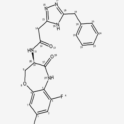 Cc1cc(F)c2c(c1)OC[C@@H](NC(=O)Cc1nnc(Cc3ccccc3)[nH]1)C(=O)N2